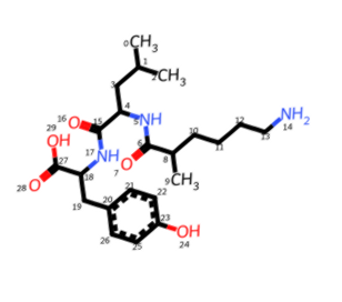 CC(C)CC(NC(=O)C(C)CCCCN)C(=O)NC(Cc1ccc(O)cc1)C(=O)O